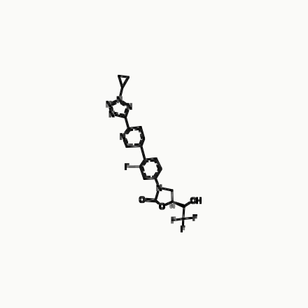 O=C1O[C@H](C(O)C(F)(F)F)CN1c1ccc(-c2ccc(-c3nnn(C4CC4)n3)nc2)c(F)c1